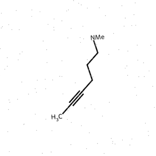 CC#CCCCNC